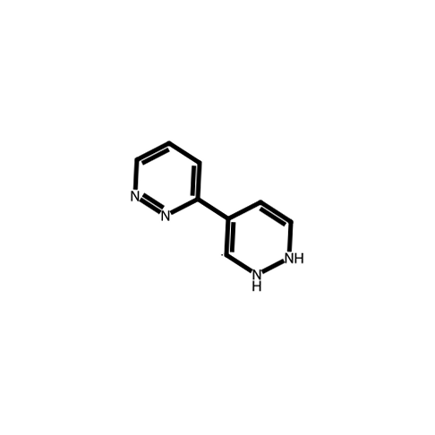 [C]1=C(c2cccnn2)C=CNN1